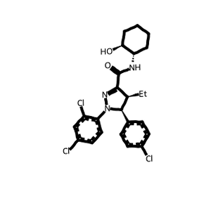 CC[C@@H]1C(C(=O)N[C@H]2CCCC[C@@H]2O)=NN(c2ccc(Cl)cc2Cl)[C@@H]1c1ccc(Cl)cc1